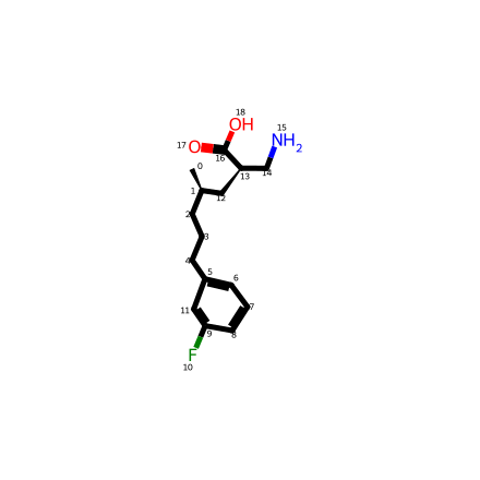 C[C@H](CCCc1cccc(F)c1)C[C@H](CN)C(=O)O